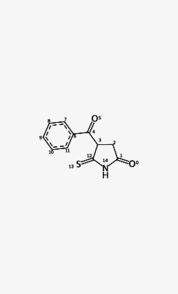 O=C1CC(C(=O)c2ccccc2)C(=S)N1